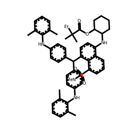 CCC(C)(C)C(=O)OC1CCCCC1Nc1ccc(C(c2ccc(Nc3c(C)cccc3C)cc2)c2ccc(Nc3c(C)cccc3C)cc2)c2c(S(=O)(=O)NC)cccc12